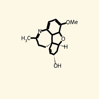 COC1=CC=C2N=C(C)CC[C@@]34C=C[C@@H](O)C[C@@H]3OC1C24